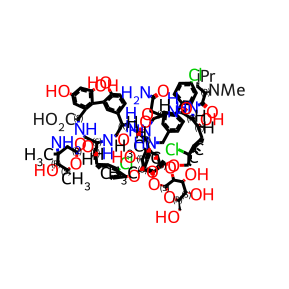 CN[C@H](CC(C)C)C(=O)N[C@H]1C(=O)N[C@@H](CC(N)=O)C(=O)N[C@H]2C(=O)N[C@H]3C(=O)N[C@H](C(=O)N[C@H](C(=O)O)c4cc(O)cc(O)c4-c4cc3ccc4O)[C@H](O[C@H]3CC(C)(N)[C@@H](O)[C@H](C)O3)c3ccc(c(Cl)c3)Oc3cc2cc(c3O[C@@H]2O[C@H](CO)[C@@H](O)C(O)C2O[C@H]2CC(C)(NCc3ccc(-c4ccc(Cl)cc4)cc3)[C@@H](O)[C@H](C)O2)Oc2ccc(cc2Cl)[C@H]1O